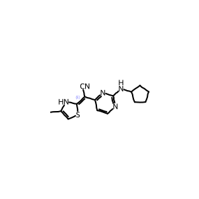 CC1=CS/C(=C(/C#N)c2ccnc(NC3CCCC3)n2)N1